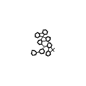 CC1(C)c2ccccc2-c2c(N(c3cccc(-c4ccccc4)c3)c3cccc4c3-c3ccccc3C43c4ccccc4-c4ccccc43)cccc21